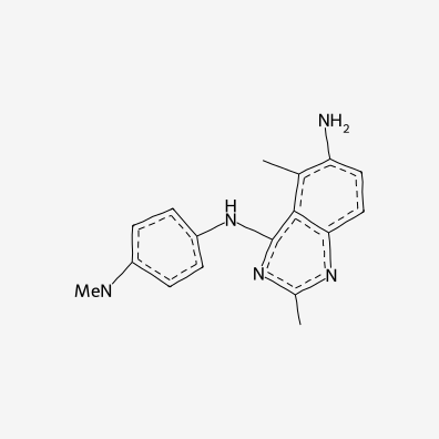 CNc1ccc(Nc2nc(C)nc3ccc(N)c(C)c23)cc1